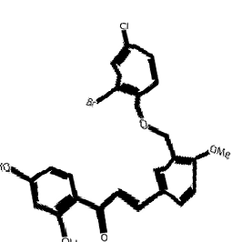 COc1ccc(/C=C/C(=O)c2ccc(O)cc2O)cc1COc1ccc(Cl)cc1Br